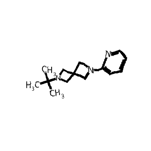 CC(C)(C)N1CC2(CN(c3ccccn3)C2)C1